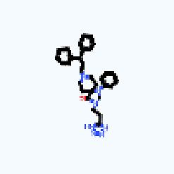 O=C1N(CCc2nnn[nH]2)CN(c2ccccc2)C12CCN(CCC(c1ccccc1)c1ccccc1)CC2